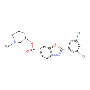 CN1CCCC(OC(=O)c2ccc3nc(-c4cc(Cl)cc(Cl)c4)oc3c2)C1